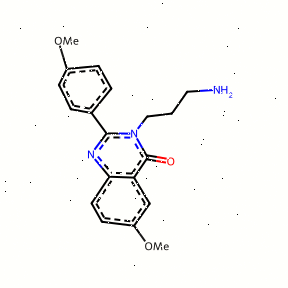 COc1ccc(-c2nc3ccc(OC)cc3c(=O)n2CCCN)cc1